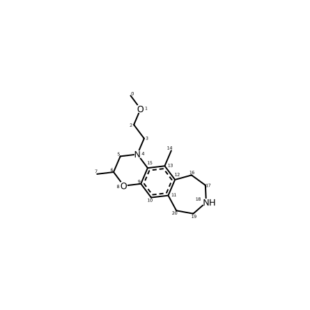 COCCN1CC(C)Oc2cc3c(c(C)c21)CCNCC3